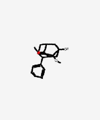 COC1C2CC3C(c4ccccc4)C1CC(O)(C2)C3OC